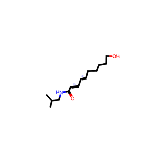 CC(C)CNC(=O)/C=C/C=C/CCCCCO